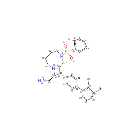 Cc1ccccc1S(=O)(=O)N1CCCCN2C(C1)[C@H](c1ccc(-c3cccc(C)c3C)cc1)[C@H]2CN